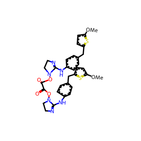 COc1ccc(Cc2ccc(NC3=NCCN3OC(=O)C(=O)ON3CCN=C3Nc3ccc(Cc4ccc(OC)s4)cc3)cc2)s1